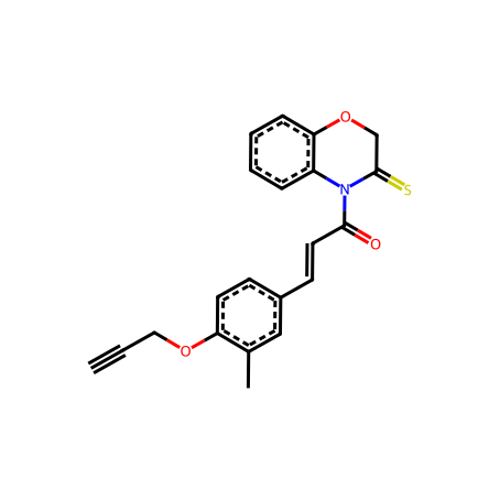 C#CCOc1ccc(/C=C/C(=O)N2C(=S)COc3ccccc32)cc1C